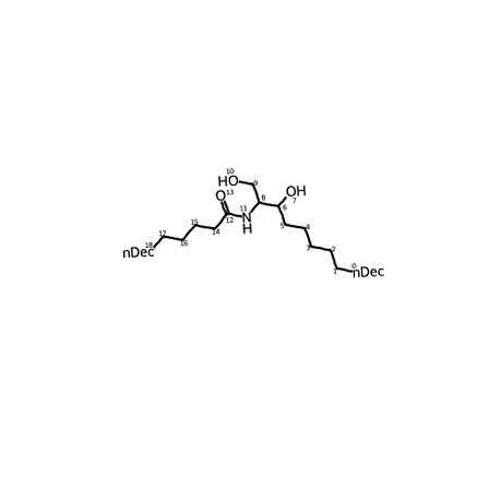 CCCCCCCCCCCCCCCC(O)C(CO)NC(=O)CCCCCCCCCCCCCC